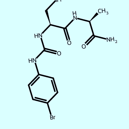 CC(C)C[C@H](NC(=O)Nc1ccc(Br)cc1)C(=O)N[C@@H](C)C(N)=O